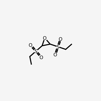 CCS(=O)(=O)C1OC1S(=O)(=O)CC